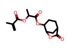 C=C(C)C(=O)OC(C)C(=O)OC1CCC2CC1OC2=O